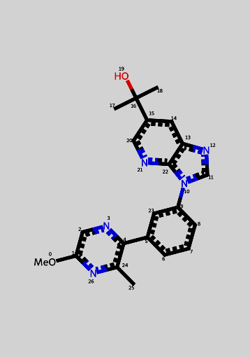 COc1cnc(-c2cccc(-n3cnc4cc(C(C)(C)O)cnc43)c2)c(C)n1